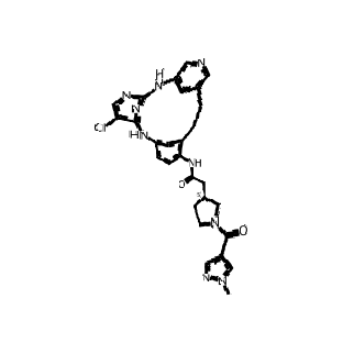 Cn1cc(C(=O)N2CC[C@@H](CC(=O)Nc3ccc4cc3CCc3cncc(c3)Nc3ncc(Cl)c(n3)N4)C2)cn1